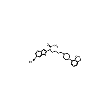 C#Cc1ccc2cc(N(CCCCN3CCN(c4cccc5c4OCC5)CC3)C(N)=O)sc2c1